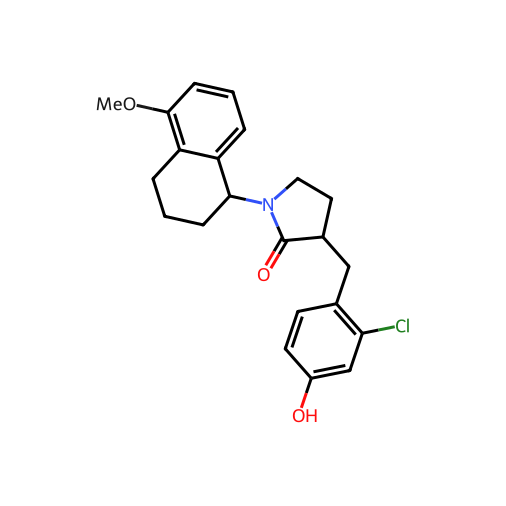 COc1cccc2c1CCCC2N1CCC(Cc2ccc(O)cc2Cl)C1=O